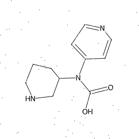 O=C(O)N(c1ccncc1)C1CCCNC1